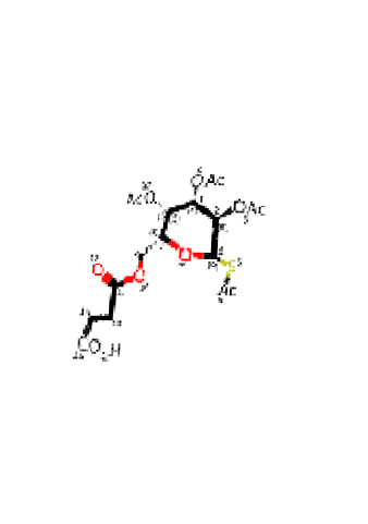 CC(=O)O[C@@H]1[C@@H](OC(C)=O)[C@@H](SC(C)=O)O[C@H](COC(=O)CCC(=O)O)[C@@H]1OC(C)=O